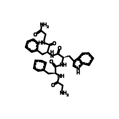 NCC(=O)N[C@@H](Cc1ccccc1)C(=O)N[C@@H](Cc1c[nH]c2ccccc12)C(=O)N[C@@H](Cc1ccccc1)C(=O)NCC(N)=O